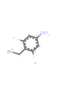 CC(C)Cc1c(F)cc(N)cc1F